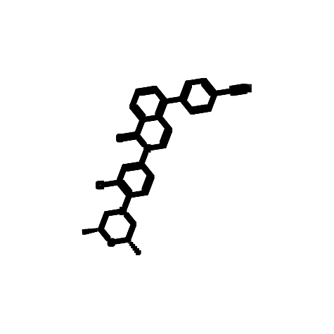 C[C@@H]1CN(c2ccc(-n3ccc4c(-c5ccc(C#N)cc5)cccc4c3=O)cc2Cl)C[C@H](C)O1